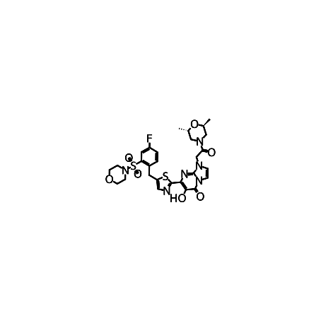 C[C@H]1CN(C(=O)Cn2ccn3c(=O)c(O)c(-c4ncc(Cc5ccc(F)cc5S(=O)(=O)N5CCOCC5)s4)nc23)C[C@H](C)O1